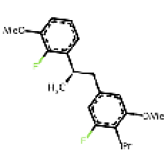 COc1cccc([C@H](C)Cc2cc(F)c(C(C)C)c(OC)c2)c1F